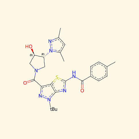 Cc1ccc(C(=O)Nc2nc3c(s2)c(C(=O)N2C[C@@H](O)[C@H](n4nc(C)cc4C)C2)nn3C(C)(C)C)cc1